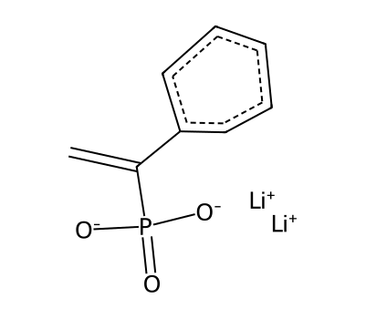 C=C(c1ccccc1)P(=O)([O-])[O-].[Li+].[Li+]